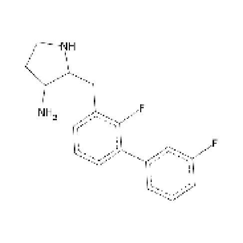 NC1CCNC1Cc1cccc(-c2cccc(F)c2)c1F